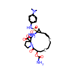 CN(C)c1ccc(NS(=O)(=O)C23CC2C=CCCCCCC(OC(N)=O)C(=O)N2CCCC2(C(N)=O)C(=O)N3)cc1